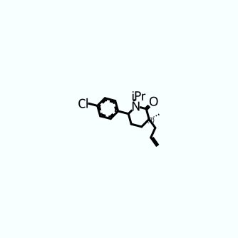 C=CC[C@@]1(C)CCC(c2ccc(Cl)cc2)N(C(C)C)C1=O